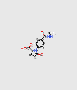 CNC(=O)c1ccc(N2C(=O)CCC2C(=O)O)cc1